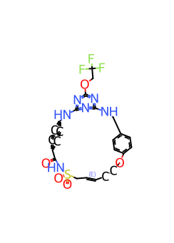 O=C1NS(=O)(=O)C/C=C/CCOc2ccc(cc2)CNc2nc(nc(OCC(F)(F)F)n2)Nc2ccc1cc2